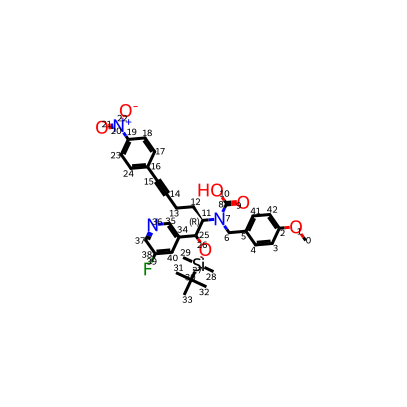 COc1ccc(CN(C(=O)O)[C@H](CCC#Cc2ccc([N+](=O)[O-])cc2)C(O[Si](C)(C)C(C)(C)C)c2cncc(F)c2)cc1